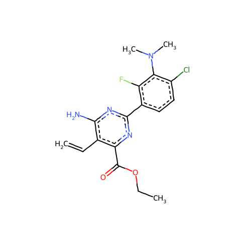 C=Cc1c(N)nc(-c2ccc(Cl)c(N(C)C)c2F)nc1C(=O)OCC